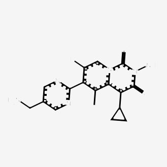 Cc1c(-c2ncc(CN)cn2)c(F)cn2c(=O)n(N)c(=O)c(C3CC3)c12